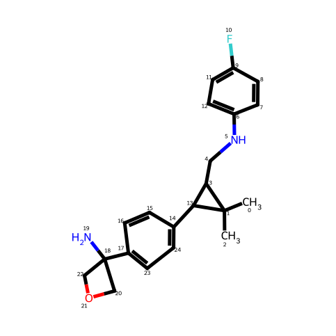 CC1(C)C(CNc2ccc(F)cc2)C1c1ccc(C2(N)COC2)cc1